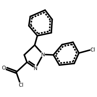 O=C(Cl)C1=NN(c2ccc(Cl)cc2)C(c2ccccc2)C1